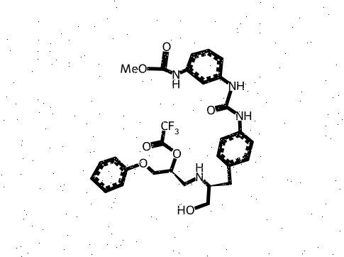 COC(=O)Nc1cccc(NC(=O)Nc2ccc(C[C@@H](CO)NC[C@@H](COc3ccccc3)OC(=O)C(F)(F)F)cc2)c1